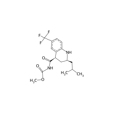 COC(=O)NC(=O)[C@@H]1C[C@H](CC(C)C)Nc2ccc(C(F)(F)F)cc21